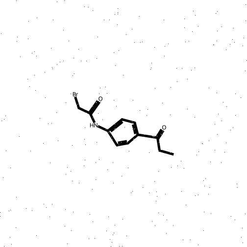 CCC(=O)c1ccc(NC(=O)CBr)cc1